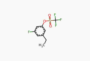 CCc1cc(F)cc(OS(=O)(=O)C(F)(F)F)c1